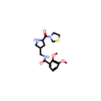 COc1cccc(C(=O)NCC2CNC(C(=O)N3CCSC3)C2)c1OC